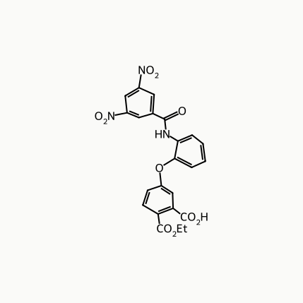 CCOC(=O)c1ccc(Oc2ccccc2NC(=O)c2cc([N+](=O)[O-])cc([N+](=O)[O-])c2)cc1C(=O)O